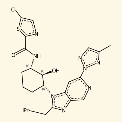 Cc1cnn(-c2cc3c(cn2)nc(CC(C)C)n3[C@@H]2CCC[C@H](NC(=O)c3ncc(Cl)s3)[C@H]2O)n1